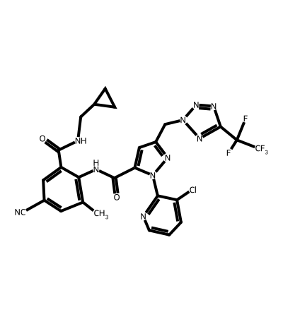 Cc1cc(C#N)cc(C(=O)NCC2CC2)c1NC(=O)c1cc(Cn2nnc(C(F)(F)C(F)(F)F)n2)nn1-c1ncccc1Cl